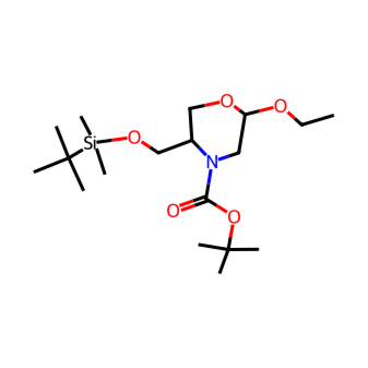 CCOC1CN(C(=O)OC(C)(C)C)C(CO[Si](C)(C)C(C)(C)C)CO1